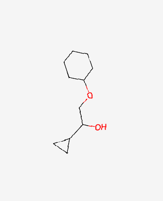 OC(COC1CCCCC1)C1CC1